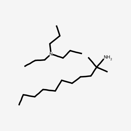 CCCCCCCCCC(C)(C)N.CCCN(CCC)CCC